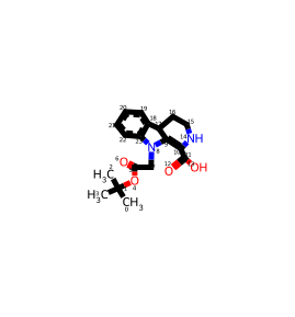 CC(C)(C)OC(=O)CN1C2=C(C(=O)O)NCCC2c2ccccc21